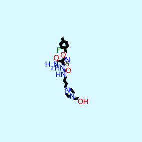 Cc1ccc(COc2nsc(NC(=O)NCCCCN3CCN(CCO)CC3)c2C(N)=O)c(F)c1